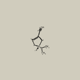 C#CC1=CCP(=S)(N(C)C)C1